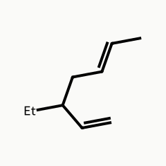 [CH2]CC(C=C)CC=CC